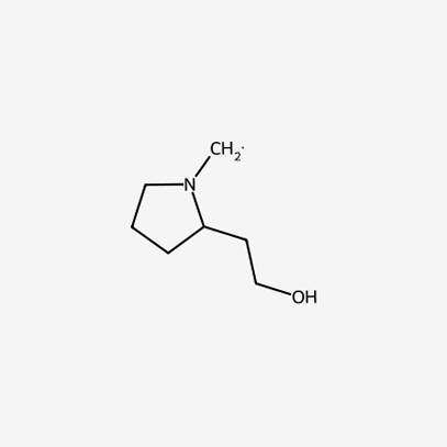 [CH2]N1CCCC1CCO